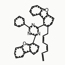 C=C/C=C\C=C/Cc1ccc2oc3ccccc3c2c1-c1nc(-c2ccccc2)nc(-c2cccc3c2oc2ccccc23)n1